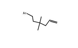 C=CCC(C)(C)CCC(C)=O